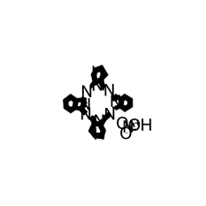 O=[N+]([O-])O.c1ccc2c(c1)-c1nc-2nc2[nH]c(nc3nc(nc4[nH]c(n1)c1ccccc41)-c1ccccc1-3)c1ccccc21